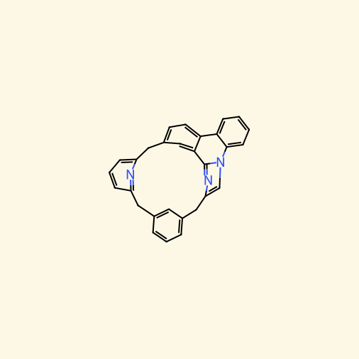 c1cc2cc(c1)Cc1cn3c4ccccc4c4ccc(cc4c3n1)Cc1cccc(n1)C2